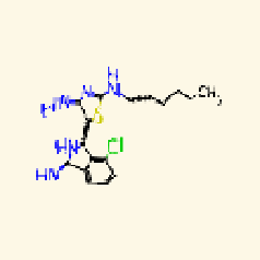 CCCCCCNC1=NC(=N)/C(=C2\NC(=N)c3cccc(Cl)c32)S1